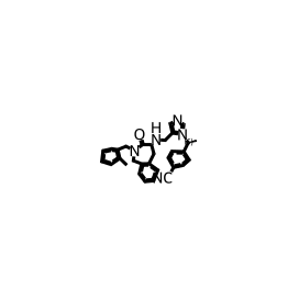 Cc1ccccc1CN1Cc2ccccc2CC(NCc2cncn2[C@@H](C)c2ccc(C#N)cc2)C1=O